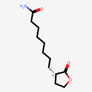 NC(=O)CCCCCCC[C@H]1CCOC1=O